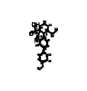 CCc1ccc(-c2ccc(C3C(CC)CCCC3(C#N)C(=O)O)cc2)cc1